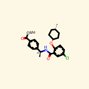 COC(=O)c1ccc([C@H](C)NC(=O)c2cc(Cl)ccc2O[C@H]2CC[C@@H](C)CC2)cc1